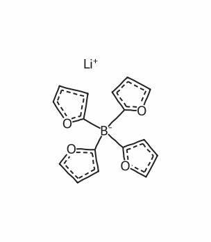 [Li+].c1coc([B-](c2ccco2)(c2ccco2)c2ccco2)c1